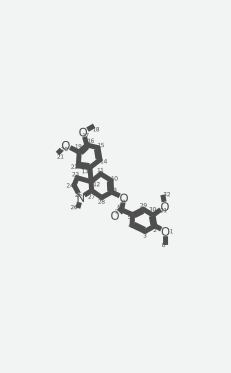 COc1ccc(C(=O)OC2=CCC3(c4ccc(OC)c(OC)c4)CCN(C)C3C2)cc1OC